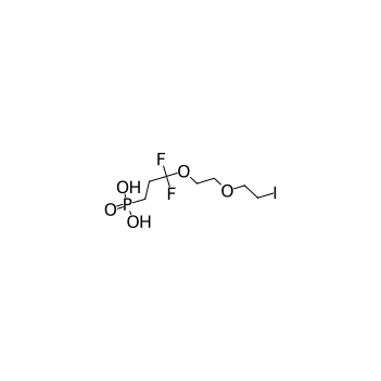 O=P(O)(O)CCC(F)(F)OCCOCCI